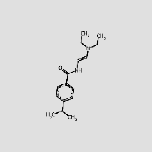 CCN(/C=C/NC(=O)c1ccc(C(C)C)cc1)CC